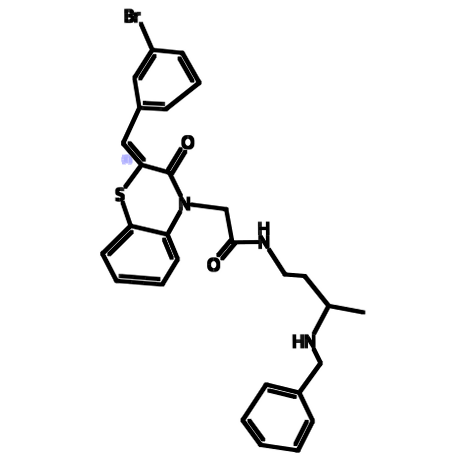 CC(CCNC(=O)CN1C(=O)/C(=C\c2cccc(Br)c2)Sc2ccccc21)NCc1ccccc1